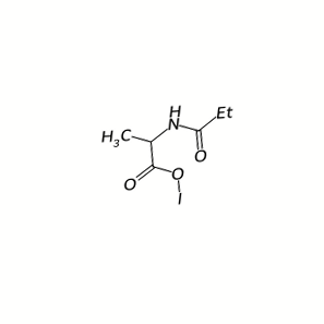 CCC(=O)NC(C)C(=O)OI